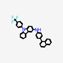 FC(F)(F)c1ccc(-n2c3ccccc3c3cc(Nc4ccc(-c5cccc6ccccc56)cc4)ccc32)cc1